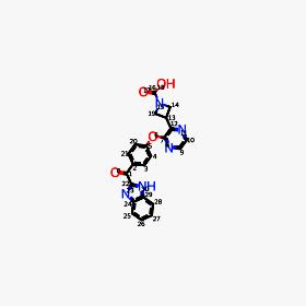 O=C(c1ccc(Oc2nccnc2C2CN(C(=O)O)C2)cc1)c1nc2ccccc2[nH]1